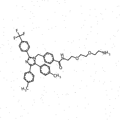 Cc1ccc(-c2nc(-c3ccc(C(F)(F)F)cc3)n(Cc3ccc(C(=O)NCCOCCOCCN)cc3)c2-c2ccc(C)cc2)cc1